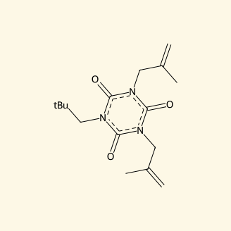 C=C(C)Cn1c(=O)n(CC(=C)C)c(=O)n(CC(C)(C)C)c1=O